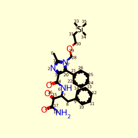 Cc1nc(C(=O)NC(Cc2ccccc2)C(=O)C(N)=O)c(-c2ccccc2)n1COCC[Si](C)(C)C